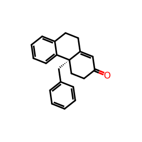 O=C1C=C2CCc3ccccc3[C@]2(Cc2ccccc2)CC1